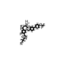 CC(C)(C#N)c1nnc(-c2cc3c(cc2F)C(F)(F)C[C@H](N)C(=O)N3Cc2ccc(-c3ccc(OC(F)F)cn3)cc2)o1